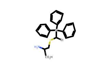 CCC(SCC(N)C(=O)O)[Si](c1ccccc1)(c1ccccc1)c1ccccc1